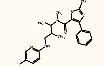 Cc1nc(-c2ccccc2)c(C(=O)N(C)C(C)C(C)CNc2ccc(Cl)cn2)s1